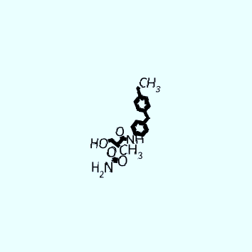 CCc1ccc(Cc2ccc(NC(=O)C(C)(CO)OC(N)=O)cc2)cc1